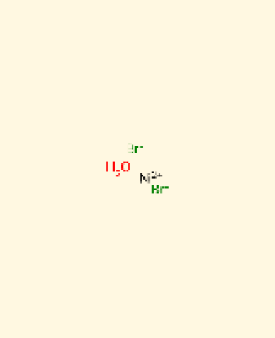 O.[Br-].[Br-].[Ni+2]